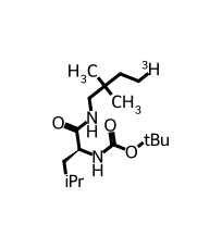 [3H]CCC(C)(C)CNC(=O)[C@H](CC(C)C)NC(=O)OC(C)(C)C